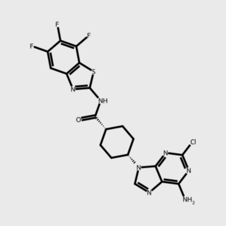 Nc1nc(Cl)nc2c1ncn2[C@H]1CC[C@@H](C(=O)Nc2nc3cc(F)c(F)c(F)c3s2)CC1